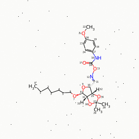 CCCCCCCO[C@H]1O[C@H](/C=N/OC(=O)Nc2ccc(OC)cc2)[C@@H]2OC(C)(C)O[C@H]12